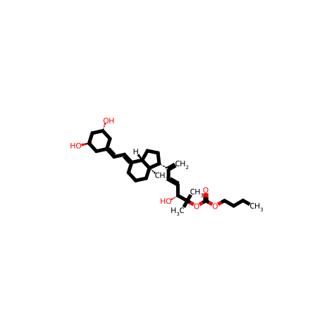 C=C(/C=C/[C@@H](O)C(C)(C)OC(=O)OCCCC)[C@H]1CC[C@H]2/C(=C/C=C3C[C@@H](O)C[C@H](O)C3)CCC[C@]12C